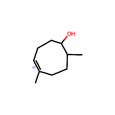 C/C1=C/CCC(O)C(C)CC1